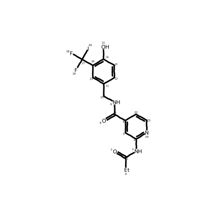 CCC(=O)Nc1cc(C(=O)NCc2ccc(O)c(C(F)(F)I)c2)ccn1